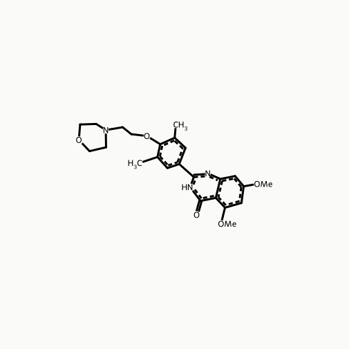 COc1cc(OC)c2c(=O)[nH]c(-c3cc(C)c(OCCN4CCOCC4)c(C)c3)nc2c1